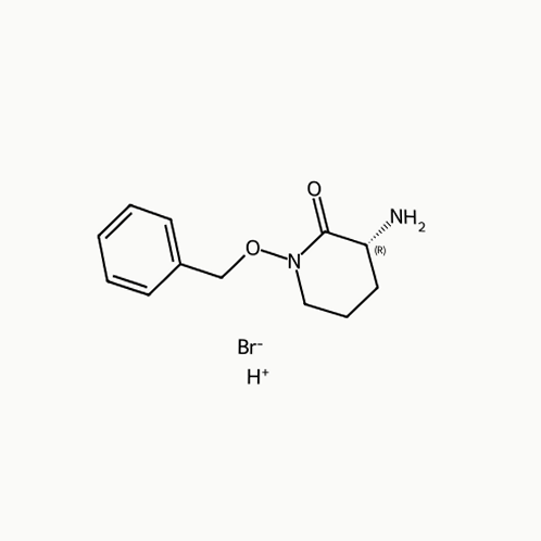 N[C@@H]1CCCN(OCc2ccccc2)C1=O.[Br-].[H+]